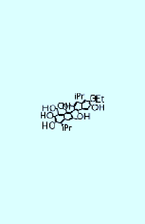 CCOc1c(O)cc2c(O)c(-c3c(C)cc4c(C(C)C)c(O)c(O)c(C(O)O)c4c3O)c(C)cc2c1C(C)C